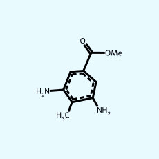 COC(=O)c1cc(N)c(C)c(N)c1